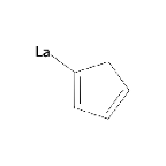 [La][C]1=CC=CC1